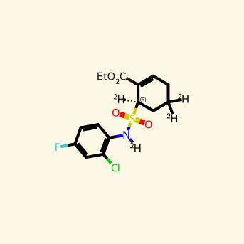 [2H]N(c1ccc(F)cc1Cl)S(=O)(=O)[C@]1([2H])CC([2H])([2H])CC=C1C(=O)OCC